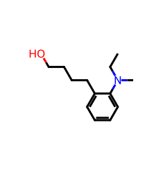 CCN(C)c1ccccc1CCCCO